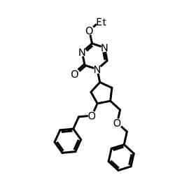 CCOc1ncn(C2CC(COCc3ccccc3)C(OCc3ccccc3)C2)c(=O)n1